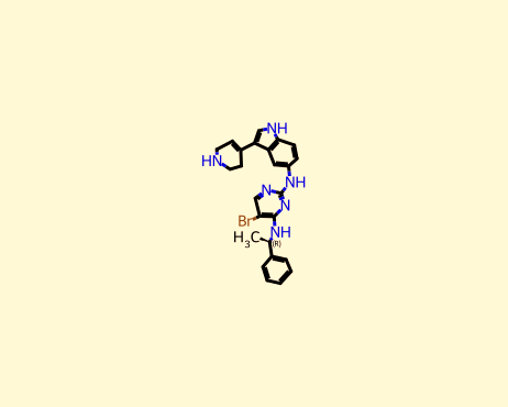 C[C@@H](Nc1nc(Nc2ccc3[nH]cc(C4=CCNCC4)c3c2)ncc1Br)c1ccccc1